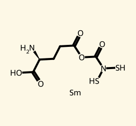 N[C@@H](CCC(=O)OC(=O)N(S)S)C(=O)O.[Sm]